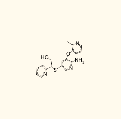 Cc1ncccc1Oc1cc(SC(CO)c2ccccn2)cnc1N